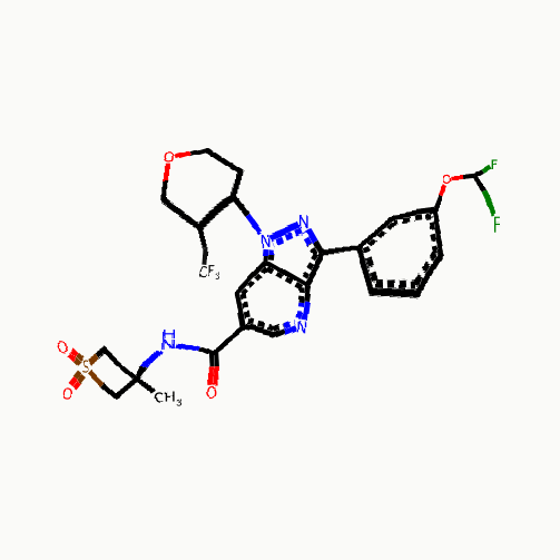 CC1(NC(=O)c2cnc3c(-c4cccc(OC(F)F)c4)nn(C4CCOCC4C(F)(F)F)c3c2)CS(=O)(=O)C1